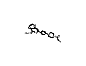 CNc1nc(-c2ccc(N3CCN(C(=O)CF)CC3)cc2)cc2nccnc12